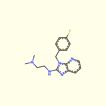 CN(C)CCNc1nc2cccnc2n1Cc1ccc(F)cc1